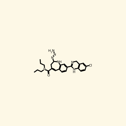 CCCN(CCC)C(=O)C1=Cc2ccc(C3=NCc4cc(Cl)ccc4N3)cc2NC(N=NN)C1